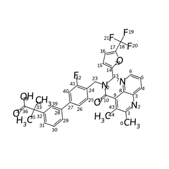 Cc1nc2cccnc2c(C(=O)N(Cc2ccc(C(F)(F)F)o2)Cc2ccc(-c3cccc(C(C)(C)C(=O)O)c3)cc2F)c1C